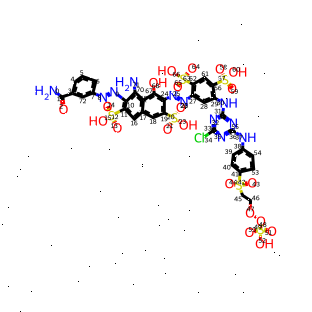 NC(=O)c1cccc(/N=N/c2c(S(=O)(=O)O)cc3cc(S(=O)(=O)O)c(/N=N/c4cc(Nc5nc(Cl)nc(Nc6ccc(S(=O)(=O)CCOOS(=O)(=O)O)cc6)n5)c(S(=O)(=O)O)cc4S(=O)(=O)O)c(O)c3c2N)c1